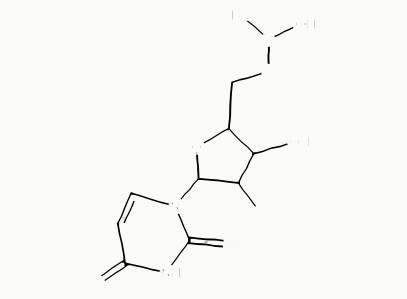 O=c1ccn(C2OC(COP(O)O)C(O)C2O)c(=O)[nH]1